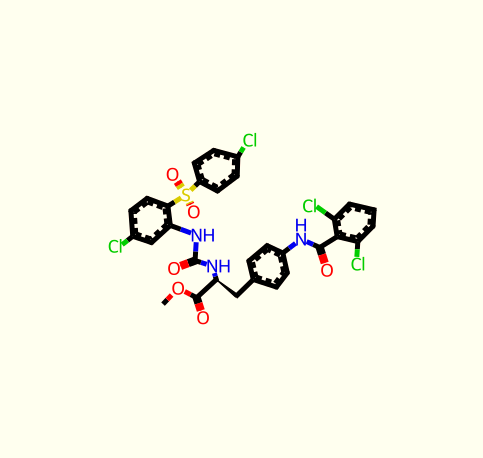 COC(=O)[C@H](Cc1ccc(NC(=O)c2c(Cl)cccc2Cl)cc1)NC(=O)Nc1cc(Cl)ccc1S(=O)(=O)c1ccc(Cl)cc1